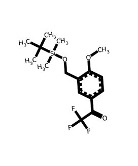 COc1ccc(C(=O)C(F)(F)F)cc1CO[Si](C)(C)C(C)(C)C